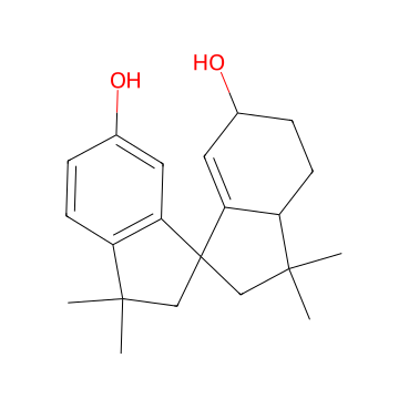 CC1(C)CC2(CC(C)(C)C3CCC(O)C=C32)c2cc(O)ccc21